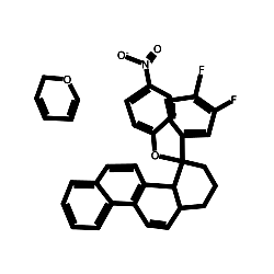 C1=CCOC=C1.O=[N+]([O-])c1ccc(OC2(c3ccc(F)c(F)c3)CCCC3C=Cc4c(ccc5ccccc45)C32)cc1